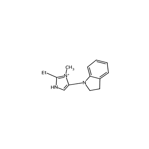 CCc1[nH]cc(N2CCc3ccccc32)[n+]1C